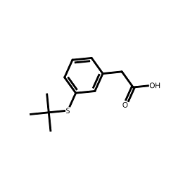 CC(C)(C)Sc1cccc(CC(=O)O)c1